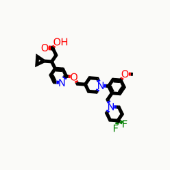 COc1ccc(CN2CCC(F)(F)CC2)c(N2CCC(COc3cc(C(CC(=O)O)C4CC4)ccn3)CC2)c1